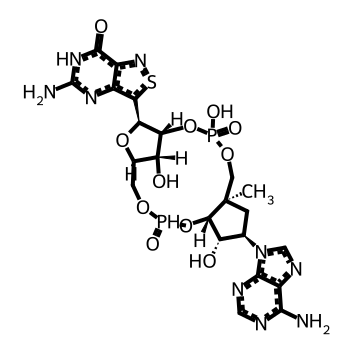 C[C@@]12COP(=O)(O)O[C@@H]3[C@H](O)[C@@H](CO[PH](=O)O[C@H]1[C@@H](O)[C@H](n1cnc4c(N)ncnc41)C2)O[C@H]3c1snc2c(=O)[nH]c(N)nc12